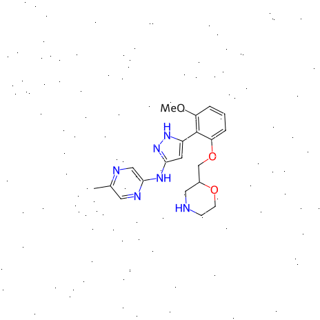 COc1cccc(OCC2CNCCO2)c1-c1cc(Nc2cnc(C)cn2)n[nH]1